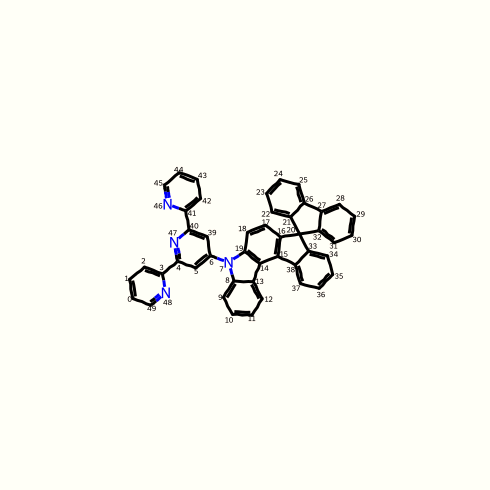 c1ccc(-c2cc(-n3c4ccccc4c4c5c(ccc43)C3(c4ccccc4-c4ccccc43)c3ccccc3-5)cc(-c3ccccn3)n2)nc1